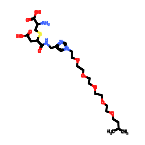 CC(C)CCOCCOCCOCCOCCOCCn1cnc(CNC(=O)C(CC(=O)O)SCC(N)C(=O)O)c1